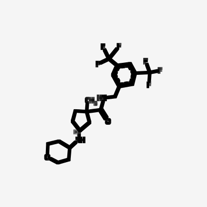 CC1(C(=O)NCc2cc(C(F)(F)F)cc(C(F)(F)F)c2)CC[C@@H](NC2CCOCC2)C1